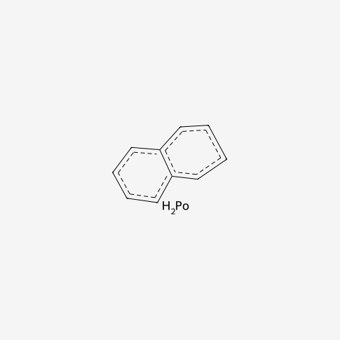 [PoH2].c1ccc2ccccc2c1